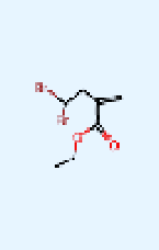 C=C(CC(Br)Br)C(=O)OCC